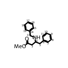 COC(=O)CC(Cc1ccccc1)NCc1ccccc1